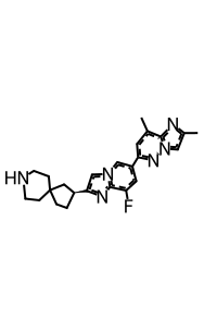 Cc1cn2nc(-c3cc(F)c4nc([C@H]5CCC6(CCNCC6)C5)cn4c3)cc(C)c2n1